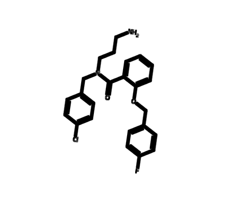 NCCCN(Cc1ccc(Cl)cc1)C(=O)c1ccccc1OCc1ccc(F)cc1